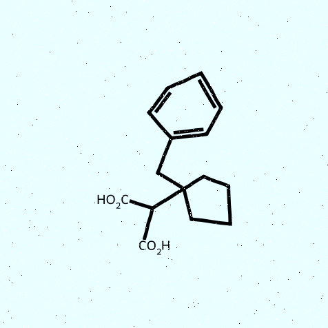 O=C(O)C(C(=O)O)C1(Cc2ccccc2)CCCC1